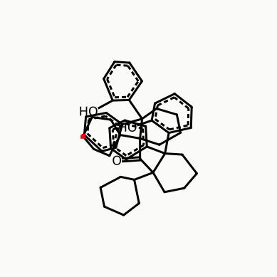 O=C(C1(C2CCCCC2)CCCCC1(c1ccccc1)c1ccccc1O)C1(C2CCCCC2)CCCCC1(c1ccccc1)c1ccccc1O